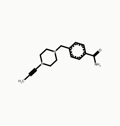 CC#CN1CCN(Cc2ccc(C(N)=O)cc2)CC1